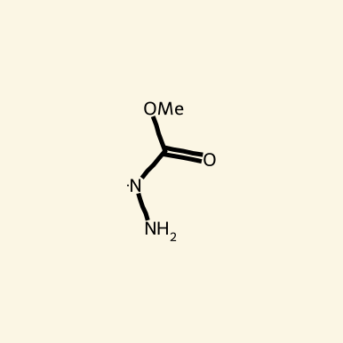 COC(=O)[N]N